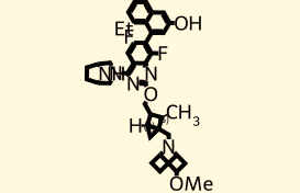 CCc1cccc2cc(O)cc(-c3c(F)cc4c(N5CC6CCC(C5)N6)nc(OCC5[C@H]6CC6(CN6C7CCC78C(OC)CC68)[C@H]5C)nc4c3F)c12